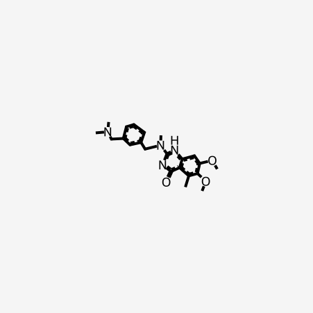 COc1cc2[nH]c(N(C)Cc3cccc(CN(C)C)c3)nc(=O)c2c(C)c1OC